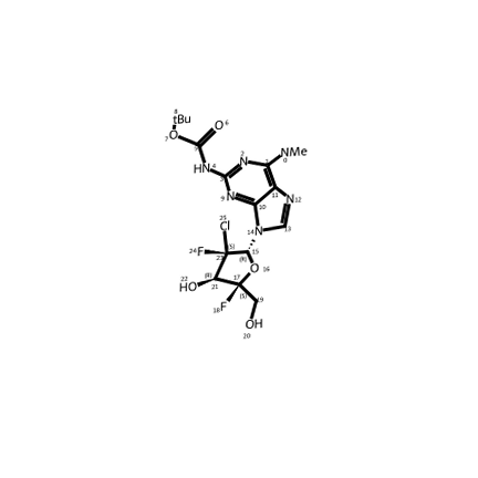 CNc1nc(NC(=O)OC(C)(C)C)nc2c1ncn2[C@@H]1O[C@](F)(CO)[C@@H](O)[C@]1(F)Cl